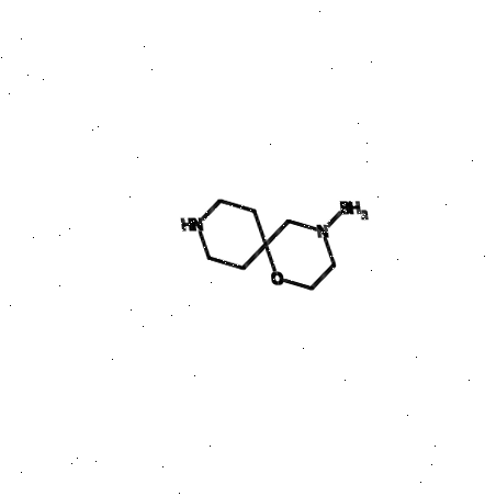 BN1CCOC2(CCNCC2)C1